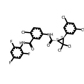 O=C(Nc1c(F)cc(F)cc1F)c1cc(NC(=O)[C@@H]2[C@@H](c3cc(Cl)cc(Cl)c3)C2(Cl)Cl)ccc1Cl